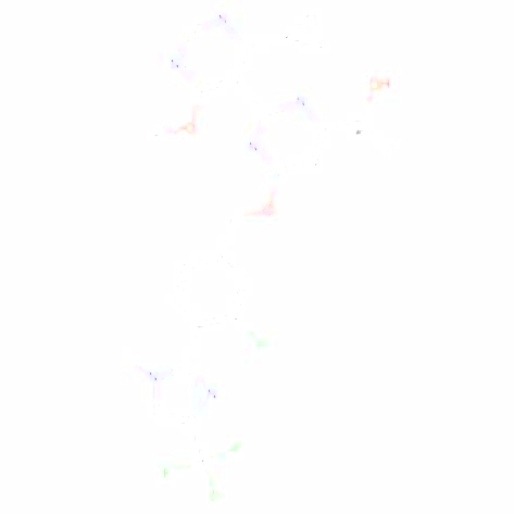 COc1ncnc(C2CC2)c1-c1nc(OCc2ccc(-c3nc(C(F)(F)F)cn3C)c(F)c2)cc([C@@H](C)O)n1